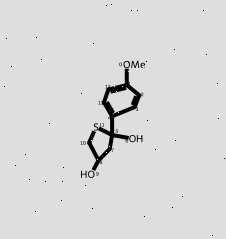 COc1ccc(C2(O)CC(O)CS2)cc1